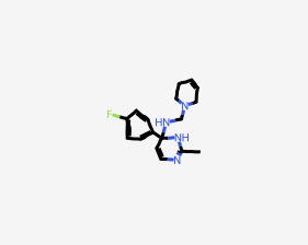 CC1=NC=CC(NCN2CC=CCC2)(c2ccc(F)cc2)N1